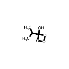 CC(C)C1(O)OOO1